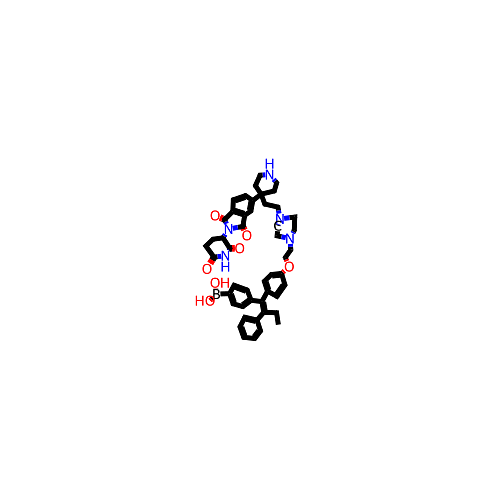 CC/C(=C(\c1ccc(OCCN2CCN(CCC3(c4ccc5c(c4)C(=O)N(C4CCC(=O)NC4=O)C5=O)CCNCC3)CC2)cc1)c1ccc(B(O)O)cc1)c1ccccc1